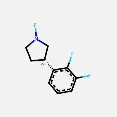 Fc1cccc([C@@H]2CCN(F)C2)c1F